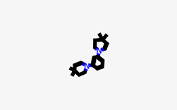 CC1(C)C=CN(c2cccc(N3C=CC(C)(C)CC3)c2)CC1